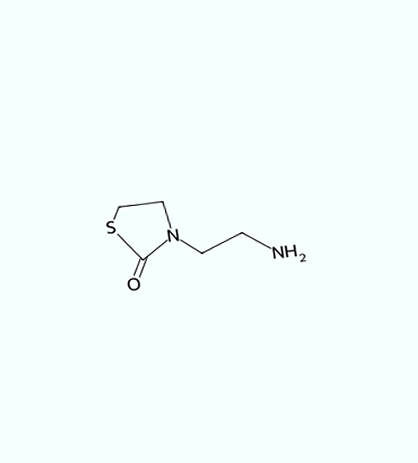 NCCN1CCSC1=O